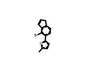 Cc1ccc(-c2ccc3c(c2Br)C=CC3)o1